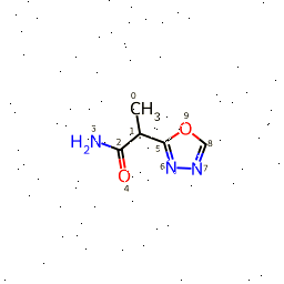 C[C](C(N)=O)c1nnco1